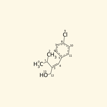 CC(C)/C(=C\c1ccc(Cl)cc1)CO